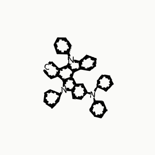 c1ccc(N(c2ccccc2)c2ccc3c(c2)c2c4c5ccccc5n(-c5ccccc5)c4c4ccccc4c2n3-c2ccccc2)cc1